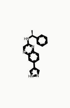 C[C@H](Nc1cnc2cc(-c3cn[nH]c3)ccc2n1)c1ccccc1